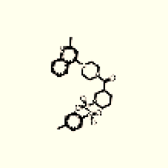 Cc1ccc(S(=O)(=O)S(=O)(=O)N2CCCC(C(=O)N3CCN(c4cc(C)nc5ccccc45)CC3)C2)cc1